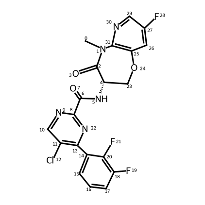 CN1C(=O)[C@@H](NC(=O)c2ncc(Cl)c(-c3cccc(F)c3F)n2)COc2cc(F)cnc21